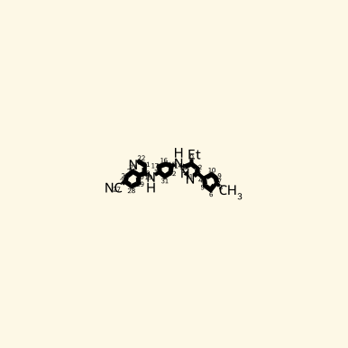 CCc1cc(-c2ccc(C)cc2)nnc1Nc1ccc(Nc2ccnc3cc(C#N)ccc23)cc1